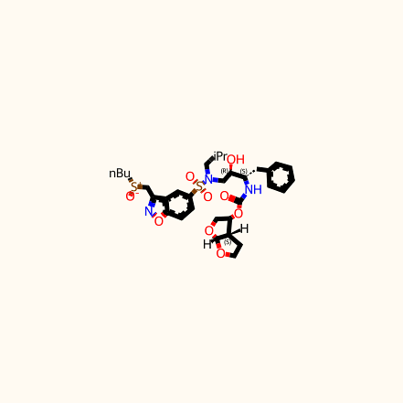 CCCC[S+]([O-])Cc1noc2ccc(S(=O)(=O)N(CC(C)C)C[C@@H](O)[C@H](Cc3ccccc3)NC(=O)OC3CO[C@H]4OCC[C@@H]34)cc12